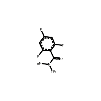 CCCN(CCC)C(=O)c1c(F)cc(F)cc1F